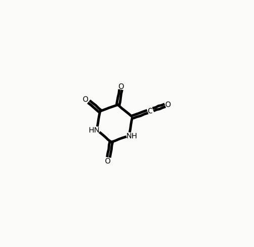 O=C=C1NC(=O)NC(=O)C1=O